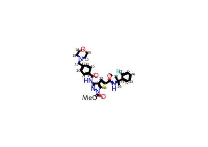 COC(=O)n1nc(NC(=O)c2ccc(CN3CCOCC3)cc2)c2cc(C(=O)NC(C)(C)c3ccccc3F)sc21